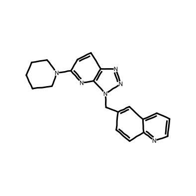 c1cnc2ccc(Cn3nnc4ccc(N5CCCCC5)nc43)cc2c1